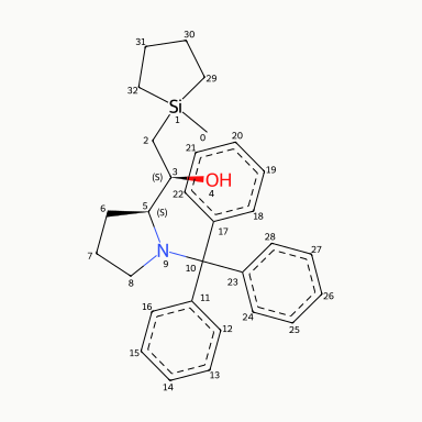 C[Si]1(C[C@@H](O)[C@@H]2CCCN2C(c2ccccc2)(c2ccccc2)c2ccccc2)CCCC1